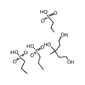 CC(O)(CCO)CCO.CCCS(=O)(=O)O.CCCS(=O)(=O)O.CCCS(=O)(=O)O